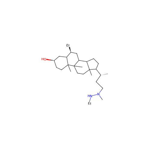 CCNN(C)CC[C@@H](C)C1CCC2C3C[C@H](CC)C4C[C@H](O)CCC4(C)C3(C)CCC21C